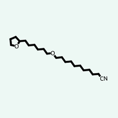 N#CCCCCCCCCCCOCCCCCCC1CCCO1